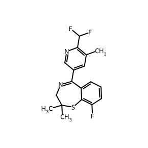 Cc1cc(C2=NCC(C)(C)Sc3c(F)cccc32)cnc1C(F)F